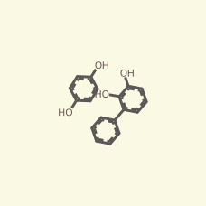 Oc1ccc(O)cc1.Oc1cccc(-c2ccccc2)c1O